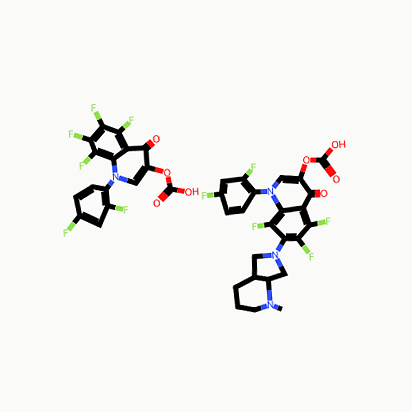 CN1CCCC2CN(c3c(F)c(F)c4c(=O)c(OC(=O)O)cn(-c5ccc(F)cc5F)c4c3F)CC21.O=C(O)Oc1cn(-c2ccc(F)cc2F)c2c(F)c(F)c(F)c(F)c2c1=O